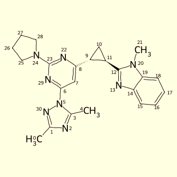 Cc1nc(C)n(-c2cc([C@@H]3C[C@H]3c3nc4ccccc4n3C)nc(N3CCCC3)n2)n1